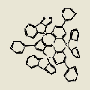 c1ccc(-c2cc3c4c(c2)[Si]2(c5ccccc5-c5ccccc52)c2cc(-c5ccccc5)cc5c2N4c2c(cc(-c4ccccc4)cc2[Si]52c4ccccc4-c4ccccc42)[Si]32c3ccccc3-c3ccccc32)cc1